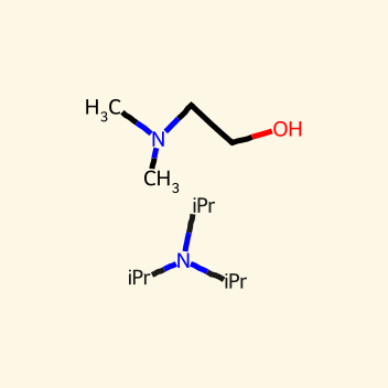 CC(C)N(C(C)C)C(C)C.CN(C)CCO